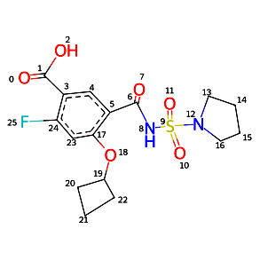 O=C(O)c1cc(C(=O)NS(=O)(=O)N2CCCC2)c(OC2CCC2)cc1F